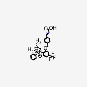 C=C(C)CN(c1ccc(C(F)(F)F)cc1OCc1ccc(/C=C/C(=O)O)cc1)S(=O)(=O)c1ccccc1